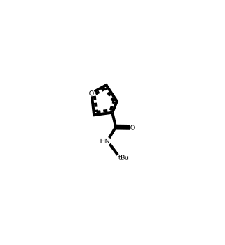 CC(C)(C)NC(=O)c1ccoc1